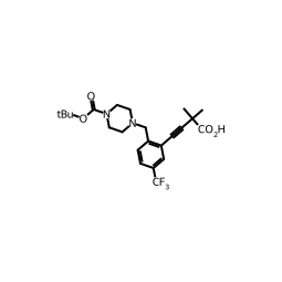 CC(C)(C)OC(=O)N1CCN(Cc2ccc(C(F)(F)F)cc2C#CC(C)(C)C(=O)O)CC1